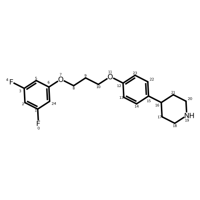 Fc1cc(F)cc(OCCCOc2ccc(C3CCNCC3)cc2)c1